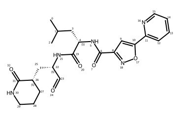 CC(C)C[C@H](NC(=O)c1cc(-c2ccccn2)on1)C(=O)N[C@H](C=O)C[C@@H]1CCCNC1=O